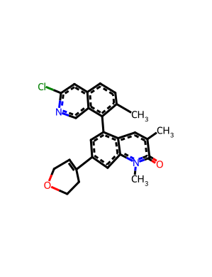 Cc1ccc2cc(Cl)ncc2c1-c1cc(C2=CCOCC2)cc2c1cc(C)c(=O)n2C